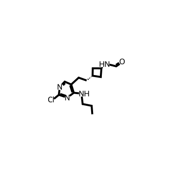 CCCNc1nc(Cl)ncc1CC[C@H]1C[C@@H](NC=O)C1